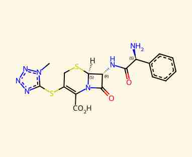 Cn1nnnc1SC1=C(C(=O)O)N2C(=O)[C@@H](NC(=O)[C@@H](N)c3ccccc3)[C@@H]2SC1